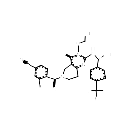 CCOn1c(N[C@@H](C)c2ccc(C(F)(F)F)cc2)nc2c(c1=O)CN(C(=O)c1ccc(C#N)cc1F)CC2